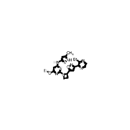 CCOc1cc(Nc2cc(C)[nH]n2)nc(N2CCC2c2cc(-c3nccnc3CC)no2)n1